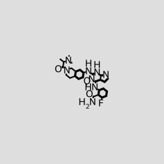 COc1cc2c(cc1Nc1nc(Nc3cccc(F)c3C(N)=O)c3ccnc-3[nH]1)CN(C(=O)C(C)N(C)C)CC2